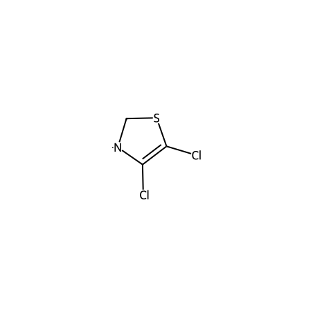 ClC1=C(Cl)SC[N]1